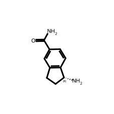 NC(=O)c1ccc2c(c1)CC[C@H]2N